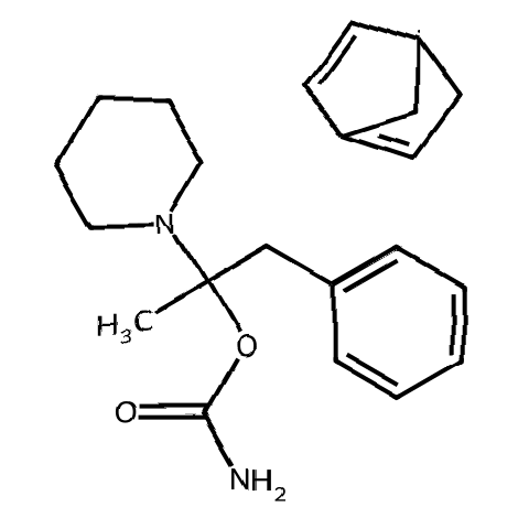 C1=CC2=CC[C]1C2.CC(Cc1ccccc1)(OC(N)=O)N1CCCCC1